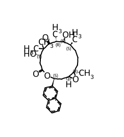 C[C@H]1CCC[C@@]2(C)O[C@H]2C[C@@H](c2ccc3ccccc3c2)OC(=O)C[C@H](O)C(C)(C)C(=O)[C@H](C)[C@H]1O